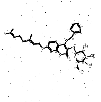 CC(C)=CCC/C(C)=C/COc1ccc2c(OCc3ccccc3)c(O[C@@H]3O[C@H](CO)[C@H](O)[C@H](O)[C@H]3O)c(=O)oc2c1